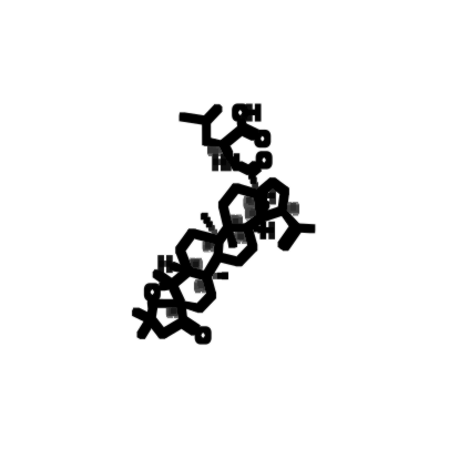 C=C(C)[C@@H]1CC[C@]2(C(=O)N[C@@H](CC(C)C)C(=O)O)CC[C@]3(C)[C@H](CCC4[C@@]5(C)CC[C@]6(C(=O)CC(C)(C)C6=O)C(C)(C)[C@@H]5CC[C@]43C)[C@@H]12